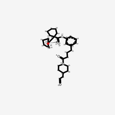 O=CCC1CCN(C(=O)CCCc2cccc(OC(=O)C3([C@@H]4CN5CCC4CC5)CCCCC3)c2)CC1